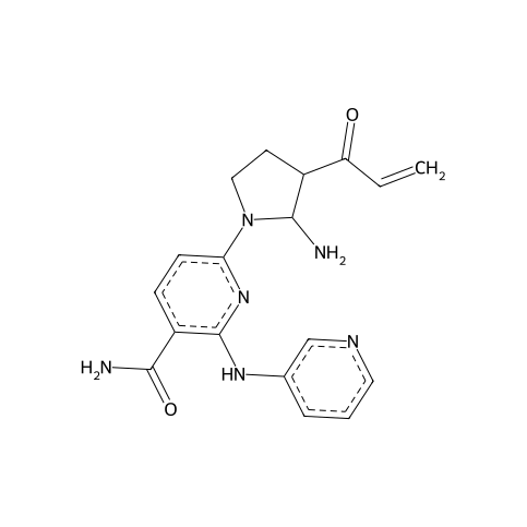 C=CC(=O)C1CCN(c2ccc(C(N)=O)c(Nc3cccnc3)n2)C1N